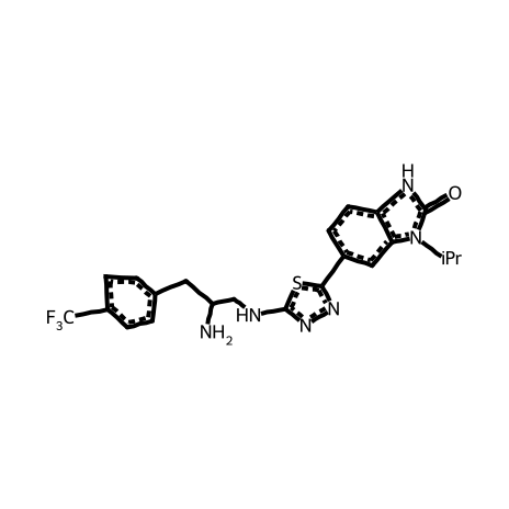 CC(C)n1c(=O)[nH]c2ccc(-c3nnc(NCC(N)Cc4ccc(C(F)(F)F)cc4)s3)cc21